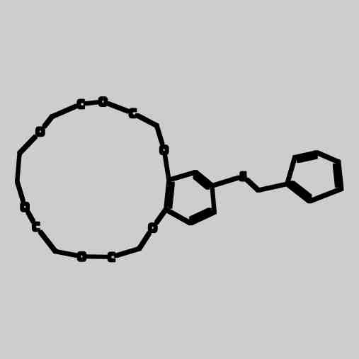 c1ccc(CSc2ccc3c(c2)OCCOCCOCCOCCOCCO3)cc1